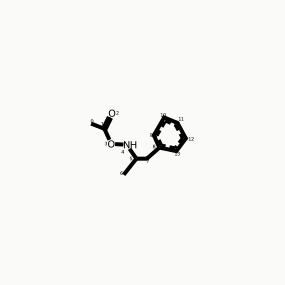 CC(=O)ONC(C)Cc1ccccc1